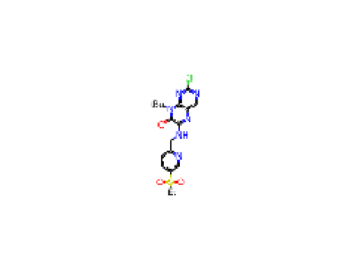 CCS(=O)(=O)c1ccc(CNc2nc3cnc(Cl)nc3n(C(C)(C)C)c2=O)nc1